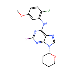 COc1ccc(Cl)c(Nc2nc(I)nc3c2ncn3C2CCCCO2)c1